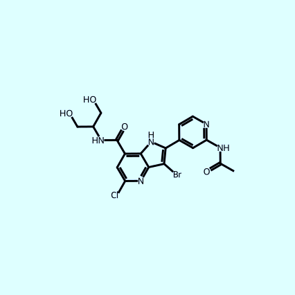 CC(=O)Nc1cc(-c2[nH]c3c(C(=O)NC(CO)CO)cc(Cl)nc3c2Br)ccn1